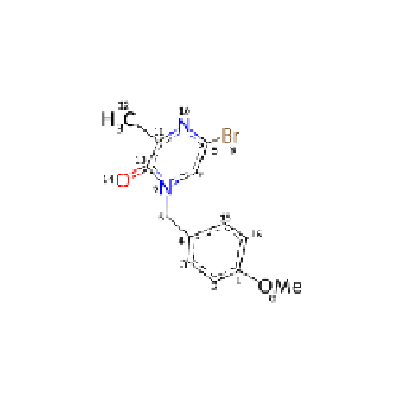 COc1ccc(Cn2cc(Br)nc(C)c2=O)cc1